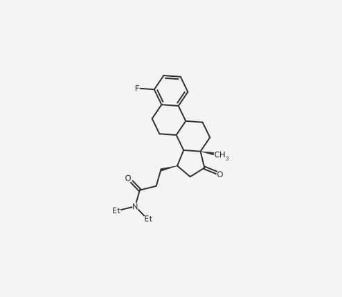 CCN(CC)C(=O)CC[C@@H]1CC(=O)[C@@]2(C)CCC3c4cccc(F)c4CCC3C12